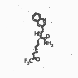 NC(=O)[C@H](CCCSCC(=O)C(F)(F)F)NCc1cnc2ccccc2c1